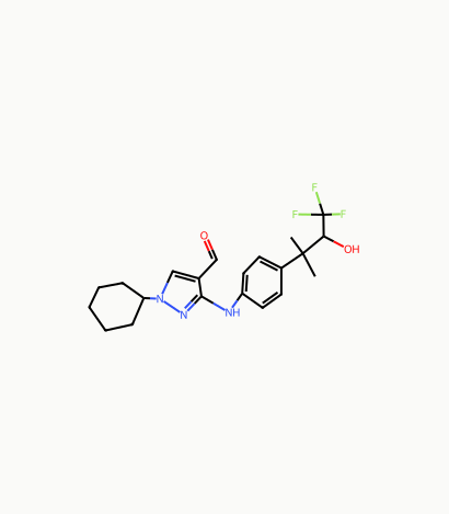 CC(C)(c1ccc(Nc2nn(C3CCCCC3)cc2C=O)cc1)C(O)C(F)(F)F